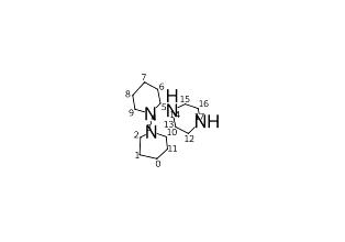 C1CCN(N2CCCCC2)CC1.C1CNCCN1